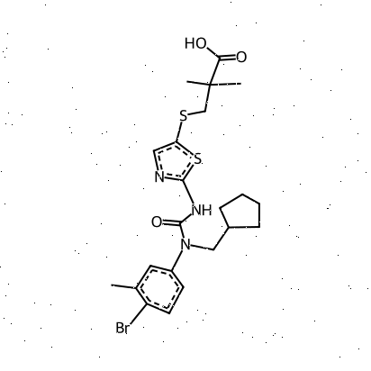 Cc1cc(N(CC2CCCC2)C(=O)Nc2ncc(SCC(C)(C)C(=O)O)s2)ccc1Br